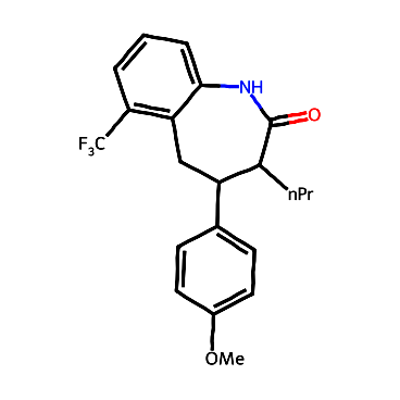 CCCC1C(=O)Nc2cccc(C(F)(F)F)c2CC1c1ccc(OC)cc1